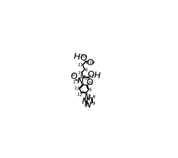 O=CN(c1ccc(-n2ccnn2)cc1)[C@@H](CCCC(=O)O)C(=O)O